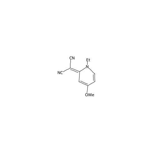 CCN1C=CC(OC)=CC1=C(C#N)C#N